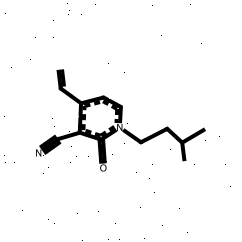 C=Cc1ccn(CCC(C)C)c(=O)c1C#N